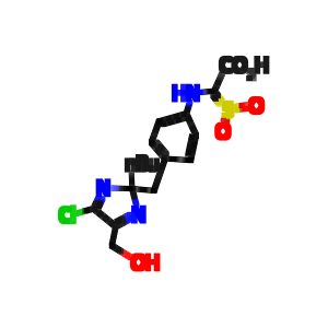 CCCCC1(Cc2ccc(NC(C(=O)O)=S(=O)=O)cc2)N=C(Cl)C(CO)=N1